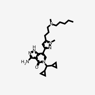 CCCCCN(C)CCCc1cc(-c2cn(C(C3CC3)C3CC3)c(=O)c3c(N)n[nH]c23)nn1C